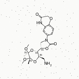 CO[C@@]1(C)O[C@H]([C@@H]2CN(c3ccc4c(c3)NC(=O)CO4)C(=O)O2)[C@@H](CN)O[C@]1(C)OC